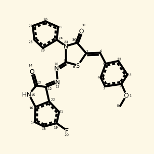 COc1ccc(C=C2SC(=NN=C3C(=O)Nc4ccc(F)cc43)N(c3ccccc3)C2=O)cc1